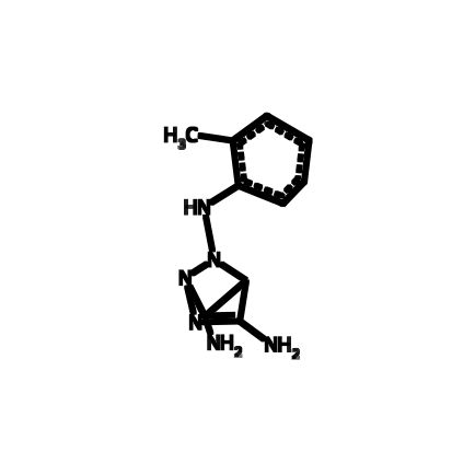 Cc1ccccc1NN1C2C(N)=NN1C2N